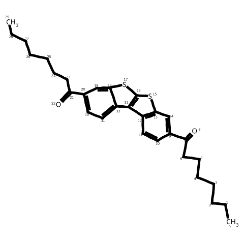 CCCCCCCC(=O)c1ccc2c(c1)sc1sc3cc(C(=O)CCCCCCC)ccc3c12